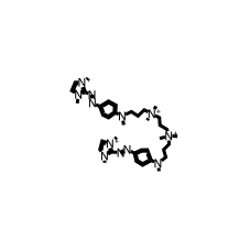 CN(CCC[N+](C)(C)CCC[N+](C)(C)CCCN(C)c1ccc(/N=N/c2n(C)cc[n+]2C)cc1)c1ccc(/N=N/c2n(C)cc[n+]2C)cc1